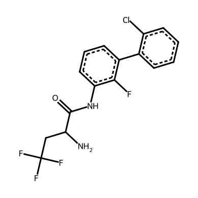 NC(CC(F)(F)F)C(=O)Nc1cccc(-c2ccccc2Cl)c1F